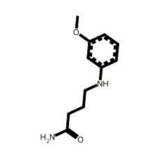 COc1cccc(NCCCC(N)=O)c1